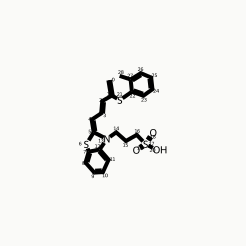 C=C(/C=C/C=C1/Sc2ccccc2N1CCCS(=O)(=O)O)Sc1ccccc1C